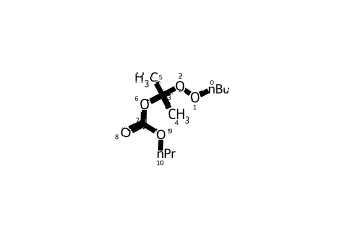 CCCCOOC(C)(C)OC(=O)OCCC